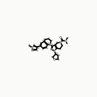 CN(C)C(=O)N1CCc2c(c(N3CCCc4cc(-c5cnn(C)c5)ccc43)nn2C2CCOC2)C1